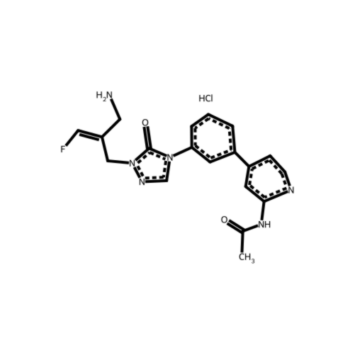 CC(=O)Nc1cc(-c2cccc(-n3cnn(C/C(=C\F)CN)c3=O)c2)ccn1.Cl